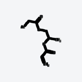 C=CC(=O)OC(C)COC(=O)CC(C)=O